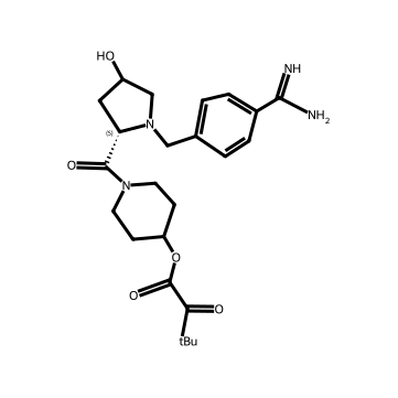 CC(C)(C)C(=O)C(=O)OC1CCN(C(=O)[C@@H]2CC(O)CN2Cc2ccc(C(=N)N)cc2)CC1